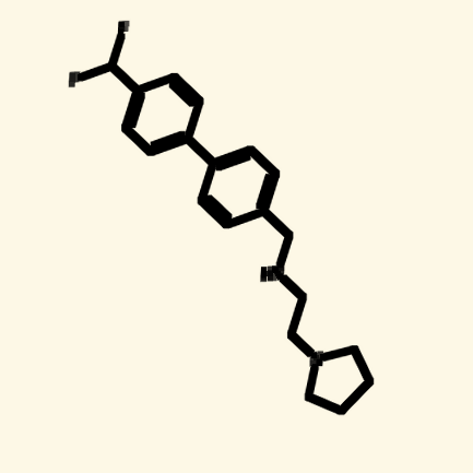 FC(F)c1ccc(-c2ccc(CNCCN3CCCC3)cc2)cc1